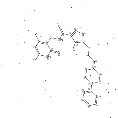 Cc1cc(C)c(CNC(=O)c2csc(CCC=C3CCN(c4ncccn4)CC3)c2C)c(=O)[nH]1